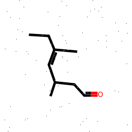 CCC(C)=CC(C)CC=O